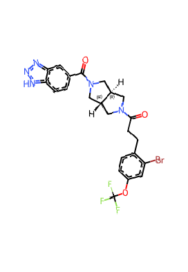 O=C(CCc1ccc(OC(F)(F)F)cc1Br)N1C[C@@H]2CN(C(=O)c3ccc4[nH]nnc4c3)C[C@H]2C1